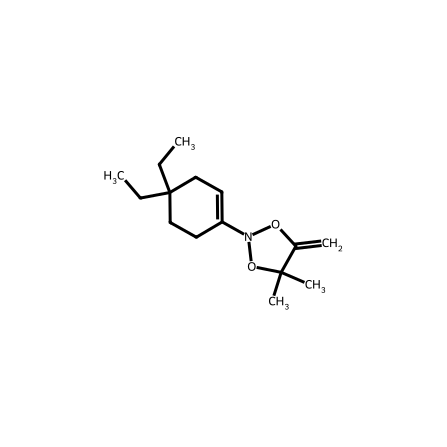 C=C1ON(C2=CCC(CC)(CC)CC2)OC1(C)C